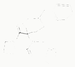 O=C1C2CCCN2C(=O)C2(CCN(Cc3ccccc3)CC2)N1Cc1ccco1